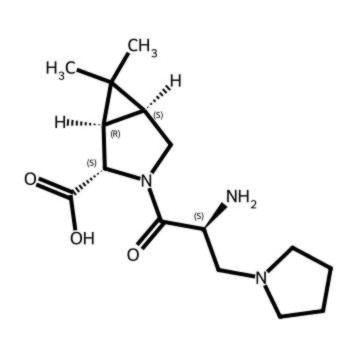 CC1(C)[C@@H]2[C@@H](C(=O)O)N(C(=O)[C@@H](N)CN3CCCC3)C[C@@H]21